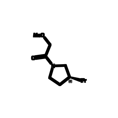 COCC(=O)N1CC[C@H](C(C)C)C1